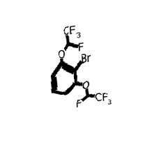 FC(Oc1cccc(OC(F)C(F)(F)F)c1Br)C(F)(F)F